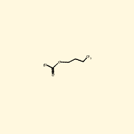 CCC(=O)OCCCC(F)(F)F